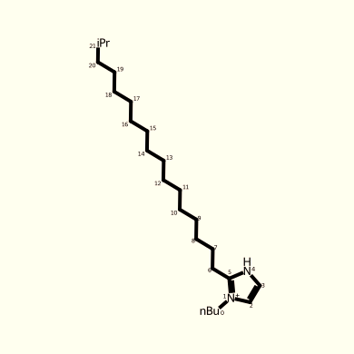 CCCC[n+]1cc[nH]c1CCCCCCCCCCCCCCCC(C)C